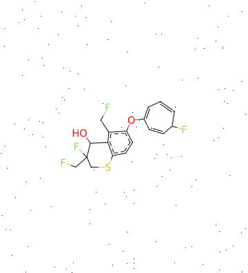 OC1c2c(ccc(OC3=CC=CC(F)C=C3)c2CF)SCC1(F)CF